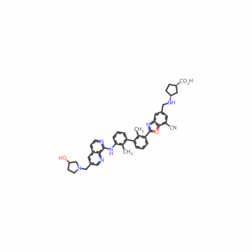 Cc1c(Nc2nccc3cc(CN4CCC(O)C4)cnc23)cccc1-c1cccc(-c2nc3cc(CN[C@H]4CC[C@@H](C(=O)O)C4)cc(C#N)c3o2)c1C